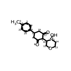 Cc1ccc(C2CC(=O)C(C3COCCN3O)C(=O)C2)cc1